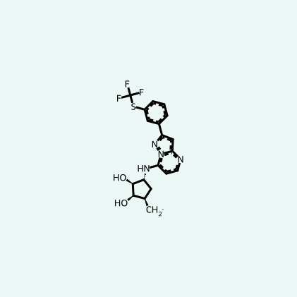 [CH2][C@@H]1C[C@@H](Nc2ccnc3cc(-c4cccc(SC(F)(F)F)c4)nn23)[C@H](O)[C@@H]1O